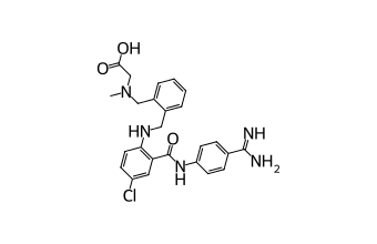 CN(CC(=O)O)Cc1ccccc1CNc1ccc(Cl)cc1C(=O)Nc1ccc(C(=N)N)cc1